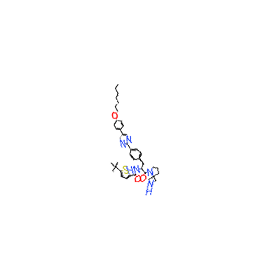 CCCCCCCOc1ccc(-c2cnc(-c3ccc(C[C@H](NC(=O)c4ccc(C(C)(C)C)s4)C(=O)N4CCCC45CNC5)cc3)nc2)cc1